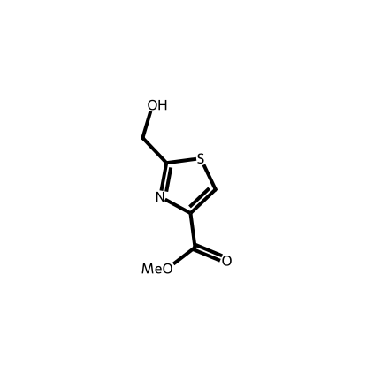 COC(=O)c1csc(CO)n1